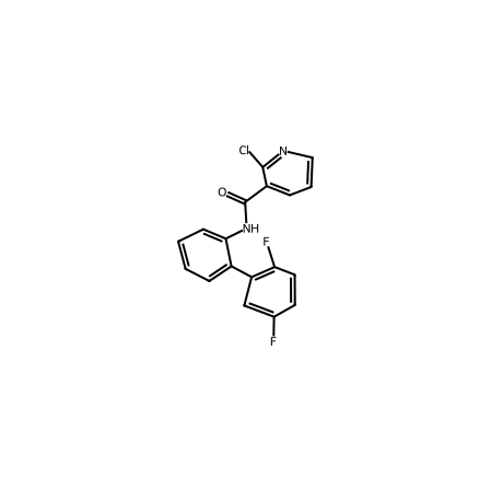 O=C(Nc1ccccc1-c1cc(F)ccc1F)c1cccnc1Cl